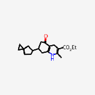 CCOC(=O)C1=C(C)NC2=C(C1)C(=O)CC(C1CCC3(CC3)C1)C2